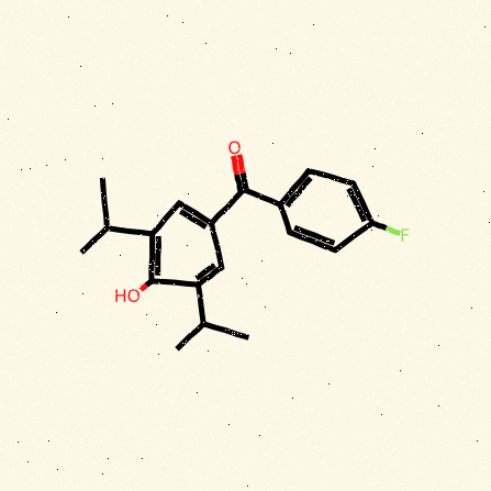 CC(C)c1cc(C(=O)c2ccc(F)cc2)cc(C(C)C)c1O